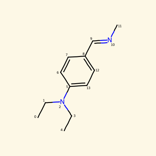 CCN(CC)c1ccc(C=NC)cc1